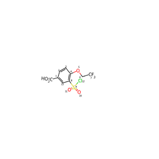 O=C(O)c1ccc(OCC(F)(F)F)c(S(=O)(=O)Cl)c1